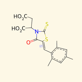 Cc1cc(C)c(/C=C2\SC(=S)N(C(CC(=O)O)C(=O)O)C2=O)c(C)c1